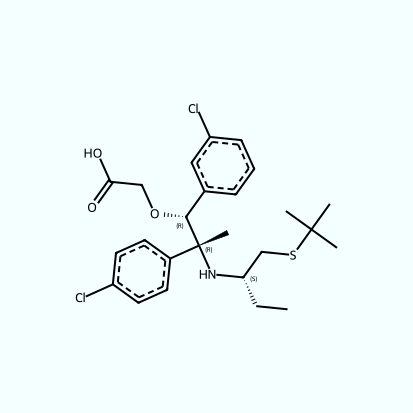 CC[C@@H](CSC(C)(C)C)N[C@](C)(c1ccc(Cl)cc1)[C@H](OCC(=O)O)c1cccc(Cl)c1